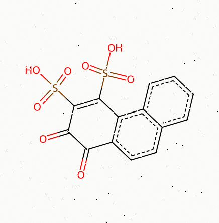 O=C1C(=O)c2ccc3ccccc3c2C(S(=O)(=O)O)=C1S(=O)(=O)O